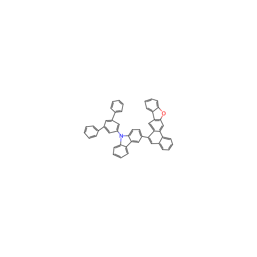 c1ccc(-c2cc(-c3ccccc3)cc(-n3c4ccccc4c4cc(-c5cc6ccccc6c6cc7oc8ccccc8c7cc56)ccc43)c2)cc1